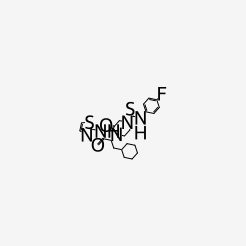 O=C(Nc1nccs1)C(CC1CCCCC1)N1CCN(C(=S)Nc2ccc(F)cc2)CC1=O